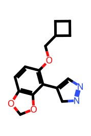 C1=C(c2c(OCC3CCC3)ccc3c2OCO3)CN=N1